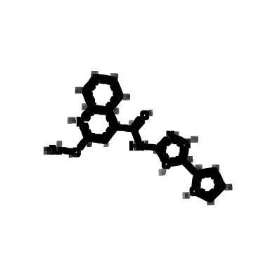 CCCCOc1cc(C(=O)Nc2nnc(-c3ccco3)o2)c2ccccc2n1